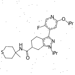 CC(C)Oc1cc(-c2nn(C(C)C)c3c2CCC(C(=O)NC2(C)CCSCC2)C3)c(F)cn1